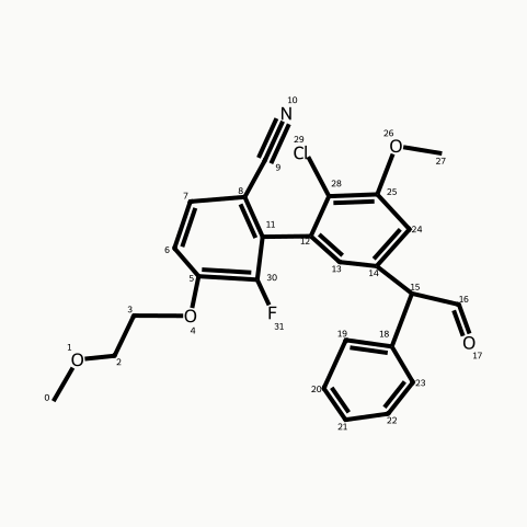 COCCOc1ccc(C#N)c(-c2cc(C(C=O)c3ccccc3)cc(OC)c2Cl)c1F